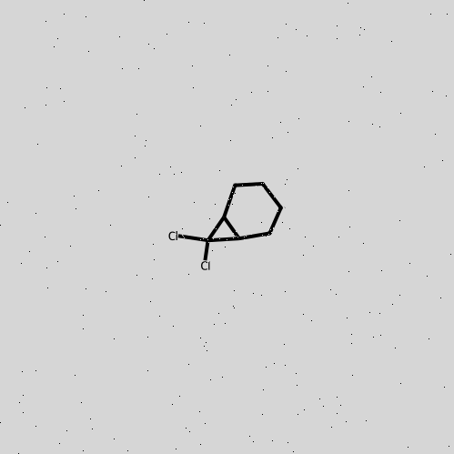 ClC1(Cl)C2C[CH]CCC21